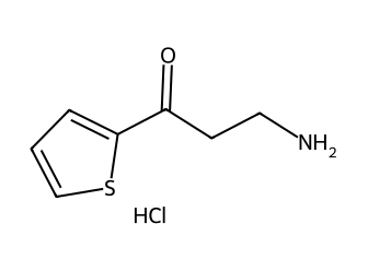 Cl.NCCC(=O)c1cccs1